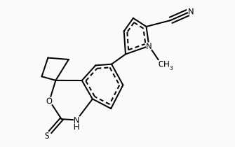 Cn1c(C#N)ccc1-c1ccc2c(c1)C1(CCC1)OC(=S)N2